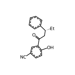 CC[C@H](CC(=O)c1cc(C#N)ccc1O)c1ccccc1